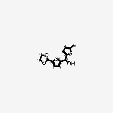 Cc1ccc(C(O)c2ccc(C3OCCO3)s2)s1